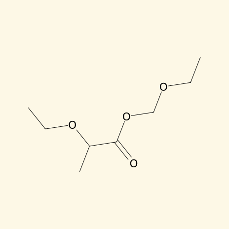 CCOCOC(=O)C(C)OCC